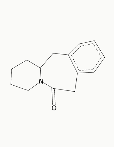 O=C1Cc2ccccc2CC2CCCCN12